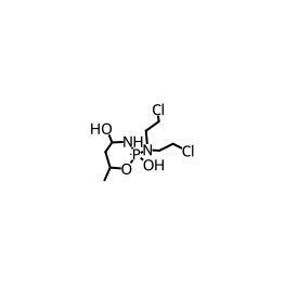 CC1CC(O)N[P](O)(N(CCCl)CCCl)O1